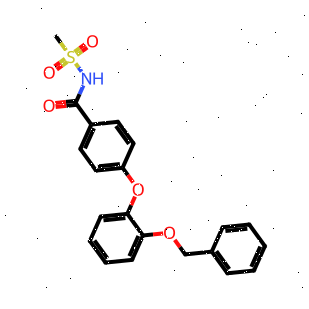 CS(=O)(=O)NC(=O)c1ccc(Oc2ccccc2OCc2ccccc2)cc1